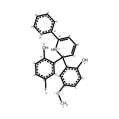 COc1ccc(O)c(C2(c3cc(F)ccc3O)C=CC=C(c3ccccn3)N2)c1